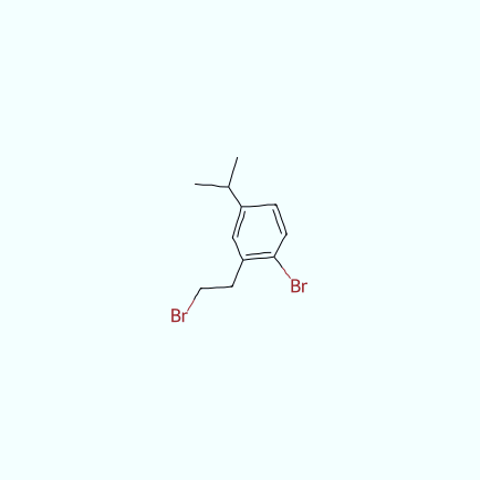 CC(C)c1ccc(Br)c(CCBr)c1